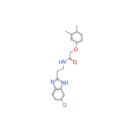 Cc1ccc(OCC(=O)NCCc2nc3ccc(Cl)cc3[nH]2)cc1C